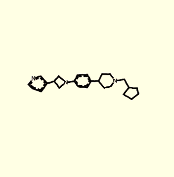 c1cncc(C2CN(c3ccc(C4CCN(CC5CCCC5)CC4)cc3)C2)c1